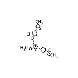 CCOc1c(F)c(-c2ccc(C(=O)OC)cc2)nn1CCOc1ccc(-c2cc(C)cs2)cc1Cl